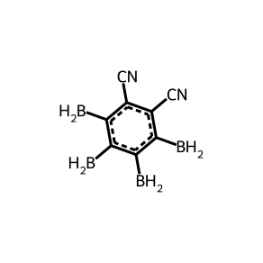 Bc1c(B)c(B)c(C#N)c(C#N)c1B